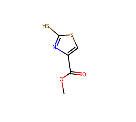 COC(=O)c1csc(S)n1